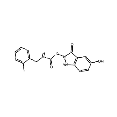 Cc1ccccc1CNC(=O)On1[nH]c2ccc(O)cc2c1=O